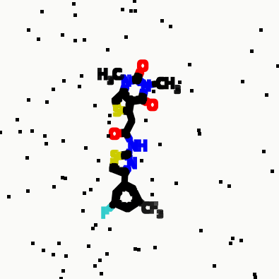 Cn1c(=O)c2c(CC(=O)Nc3nc(-c4cc(F)cc(C(F)(F)F)c4)cs3)scc2n(C)c1=O